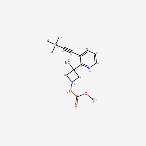 CC(C)(C)OC(=O)ON1CC(C#N)(c2ncccc2C#C[Si](C)(C)C)C1